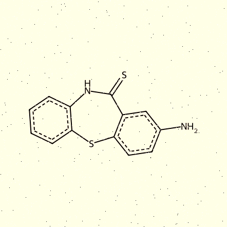 Nc1ccc2c(c1)C(=S)Nc1ccccc1S2